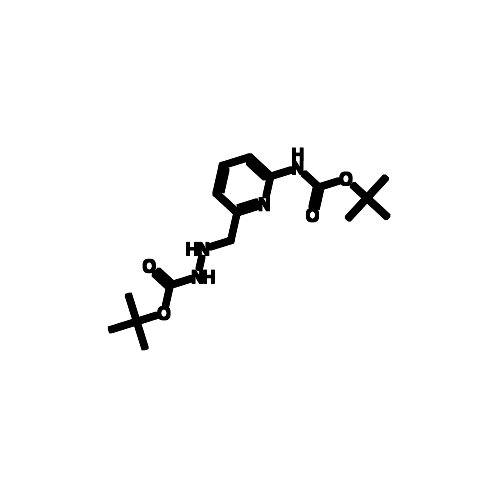 CC(C)(C)OC(=O)NNCc1cccc(NC(=O)OC(C)(C)C)n1